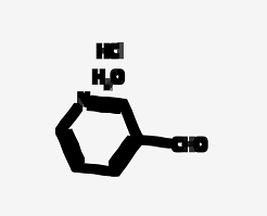 Cl.O.O=Cc1cccnc1